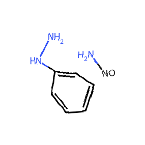 NN=O.NNc1ccccc1